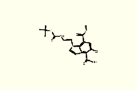 COC(=O)c1cc(Cl)c(C(=O)O)c2ccn(CCNC(=O)OC(C)(C)C)c12